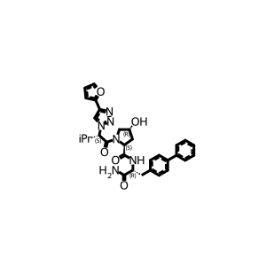 CC(C)[C@@H](C(=O)N1C[C@H](O)C[C@H]1C(=O)N[C@H](Cc1ccc(-c2ccccc2)cc1)C(N)=O)n1cc(-c2ccco2)nn1